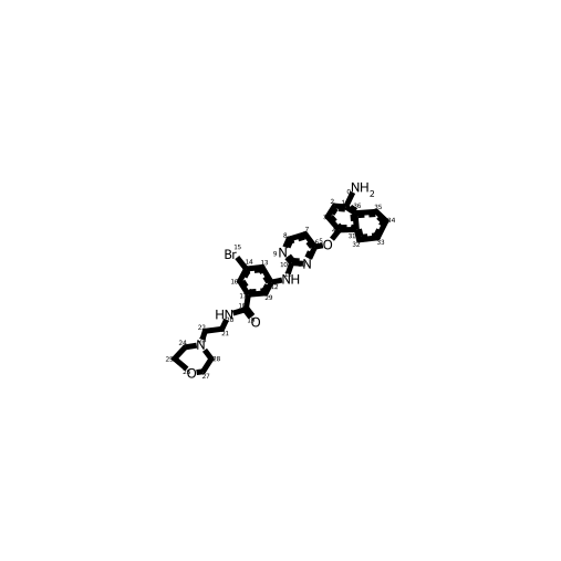 Nc1ccc(Oc2ccnc(Nc3cc(Br)cc(C(=O)NCCN4CCOCC4)c3)n2)c2ccccc12